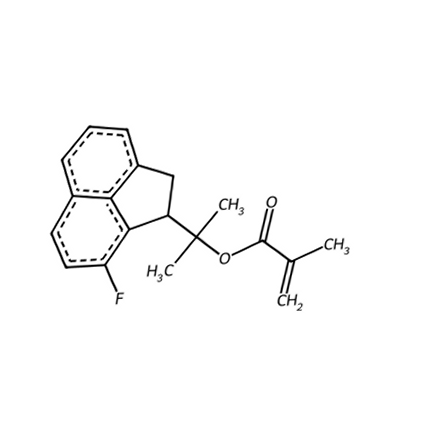 C=C(C)C(=O)OC(C)(C)C1Cc2cccc3ccc(F)c1c23